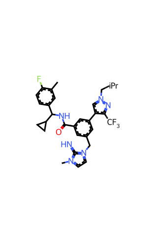 Cc1cc(C(NC(=O)c2cc(Cn3ccn(C)c3=N)cc(-c3cn(CC(C)C)nc3C(F)(F)F)c2)C2CC2)ccc1F